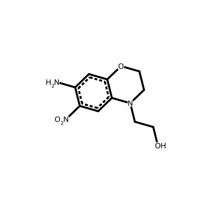 Nc1cc2c(cc1[N+](=O)[O-])N(CCO)CCO2